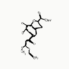 C=CS/C(=C\C(=O)c1cc2c(c(Cl)c1Cl)OC(C(=O)O)C2)SC